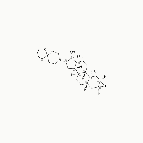 C[C@]12C[C@H]3O[C@H]3C[C@@H]1CC[C@@H]1[C@@H]2CC[C@]2(C)[C@@H](O)[C@@H](N3CCC4(CC3)OCCO4)C[C@@H]12